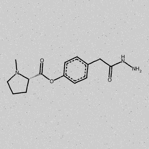 CN1CCC[C@H]1C(=O)Oc1ccc(CC(=O)NN)cc1